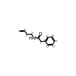 C=CCCNC(=O)Cc1ccccc1